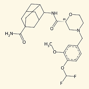 COc1cc(CN2CCO[C@@H](C(=O)NC3C4CC5CC3CC(C(N)=O)(C5)C4)C2)ccc1OC(F)F